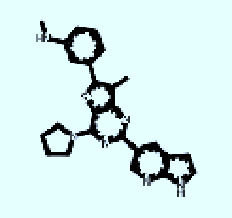 CNc1cccc(-c2sc3c(N4CCCC4)nc(-c4cnc5[nH]ccc5c4)nc3c2C)c1